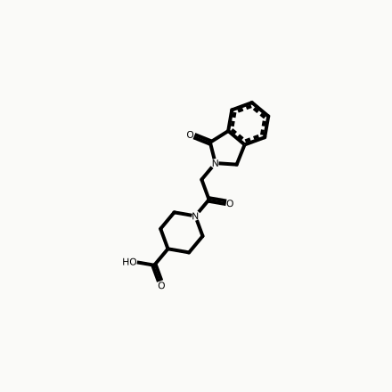 O=C(O)C1CCN(C(=O)CN2Cc3ccccc3C2=O)CC1